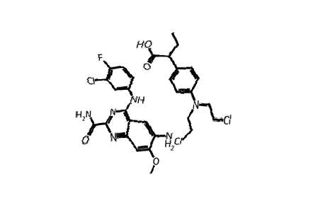 CCC(C(=O)O)c1ccc(N(CCCl)CCCl)cc1.COc1cc2nc(C(N)=O)nc(Nc3ccc(F)c(Cl)c3)c2cc1N